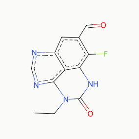 CCN1C(=O)Nc2c(F)c(C=O)cc3ncnc1c23